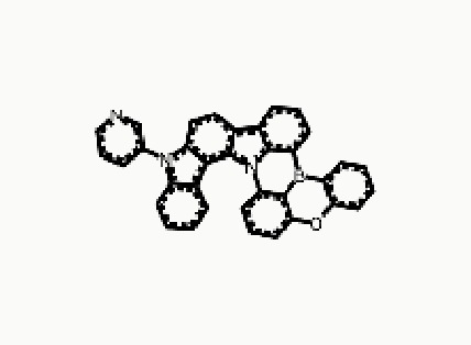 c1cncc(-n2c3ccccc3c3c2ccc2c4cccc5c4n(c23)-c2cccc3c2B5c2ccccc2O3)c1